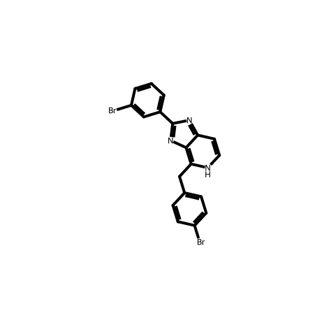 Brc1ccc(Cc2[nH]ccc3nc(-c4cccc(Br)c4)nc2-3)cc1